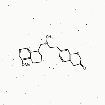 COc1cccc2c1CCCC2CN(C)CCc1ccc2c(c1)SCC(=O)C2